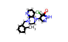 Cc1ccccc1CN1CCN(c2cn[nH]c(=O)c2Cl)c2cccnc21